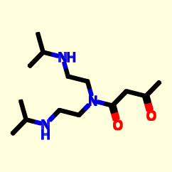 CC(=O)CC(=O)N(CCNC(C)C)CCNC(C)C